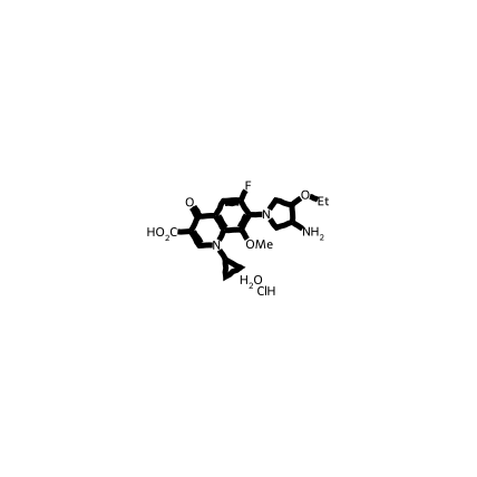 CCOC1CN(c2c(F)cc3c(=O)c(C(=O)O)cn(C4CC4)c3c2OC)CC1N.Cl.O